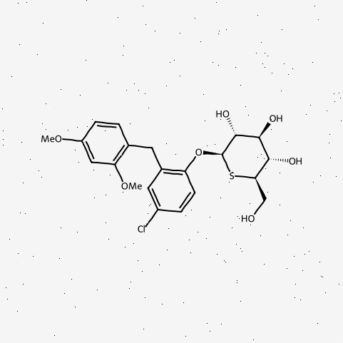 COc1ccc(Cc2cc(Cl)ccc2O[C@@H]2S[C@H](CO)[C@@H](O)[C@H](O)[C@H]2O)c(OC)c1